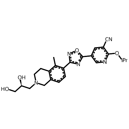 Cc1c(-c2noc(-c3cnc(OC(C)C)c(C#N)c3)n2)ccc2c1CCN(C[C@H](O)CO)C2